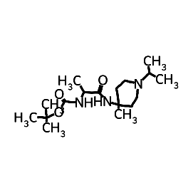 CC(NC(=O)OC(C)(C)C)C(=O)NC1(C)CCN(C(C)C)CC1